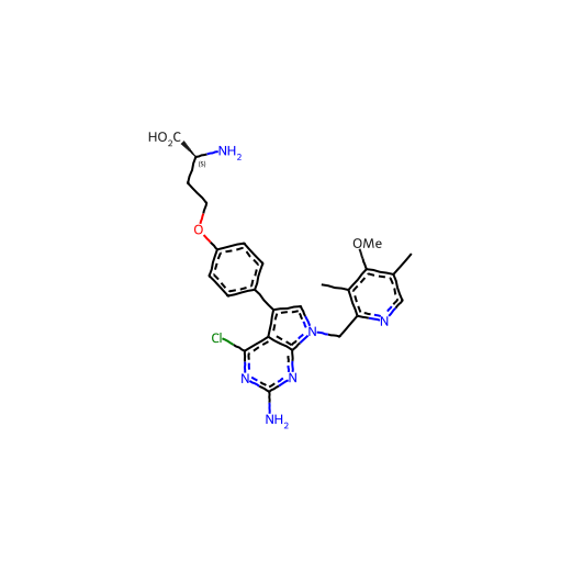 COc1c(C)cnc(Cn2cc(-c3ccc(OCC[C@H](N)C(=O)O)cc3)c3c(Cl)nc(N)nc32)c1C